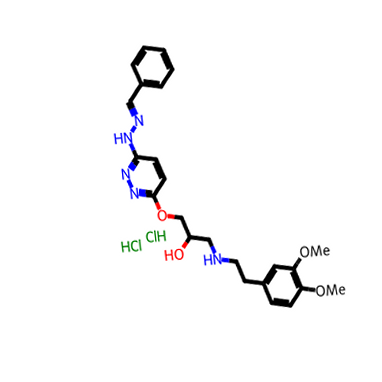 COc1ccc(CCNCC(O)COc2ccc(NN=Cc3ccccc3)nn2)cc1OC.Cl.Cl